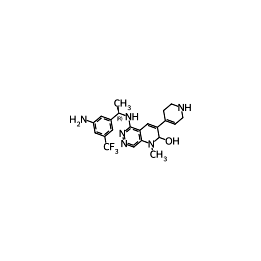 C[C@@H](Nc1nncc2c1C=C(C1=CCNCC1)C(O)N2C)c1cc(N)cc(C(F)(F)F)c1